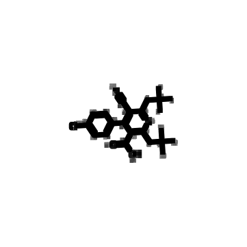 CC(C)(C)Cc1nc(CC(C)(C)C)c(C(=O)O)c(-c2ccc(Cl)cc2)c1C#N